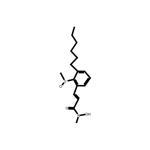 CCCCCCc1cccc(/C=C/C(=O)N(C)O)c1[S+](C)[O-]